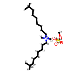 CC(C)CCCCCCC[N+](C)(C)CCCCCCCC(C)C.COS(=O)(=O)[O-]